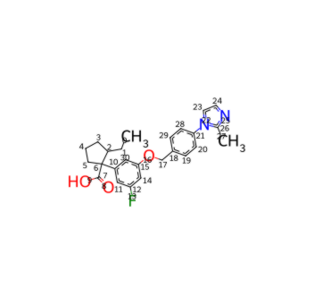 CCC1CCCC1(C(=O)O)c1cc(F)cc(OCc2ccc(-n3ccnc3C)cc2)c1